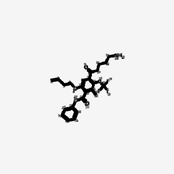 CCCCOc1cc(C(=O)CCCCN)c(OC(F)(F)F)c(C)c1C(=O)Oc1ccccc1